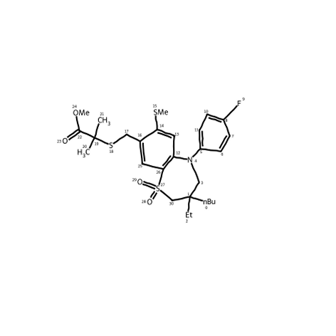 CCCCC1(CC)CN(c2ccc(F)cc2)c2cc(SC)c(CSC(C)(C)C(=O)OC)cc2S(=O)(=O)C1